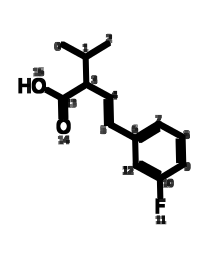 CC(C)C(C=Cc1cccc(F)c1)C(=O)O